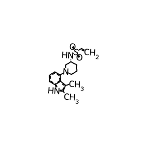 C=CS(=O)(=O)N[C@@H]1CCCN(c2cccc3[nH]c(C)c(C)c23)C1